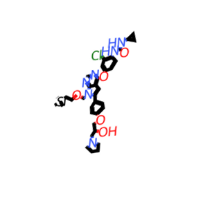 C[Si](C)(C)CCOCn1c(-c2ccc(OCC(O)CN3CCCC3)cc2)cc2c(Oc3ccc(NC(=O)NC4CC4)c(Cl)c3)ncnc21